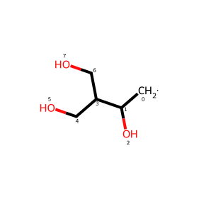 [CH2]C(O)C(CO)CO